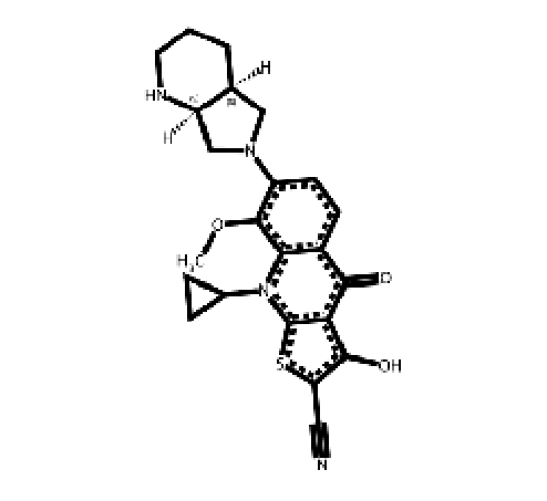 COc1c(N2C[C@@H]3CCCN[C@@H]3C2)ccc2c(=O)c3c(O)c(C#N)sc3n(C3CC3)c12